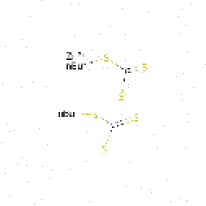 CCCCSC(=S)[S-].CCCCSC(=S)[S-].[Zn+2]